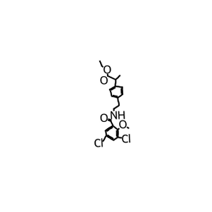 CCOC(=O)C(C)c1ccc(CCNC(=O)c2cc(Cl)cc(Cl)c2OC)cc1